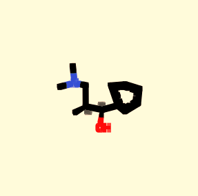 C[C@@H](CN(C)C)[C@H](O)c1ccccc1